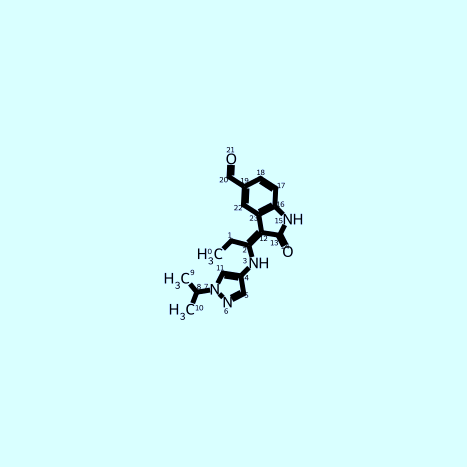 CC/C(Nc1cnn(C(C)C)c1)=C1/C(=O)Nc2ccc(C=O)cc21